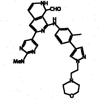 CNc1ncc(-c2cc3c(c(Nc4ccc(-c5cnn(CCN6CCOCC6)c5)c(C)c4)n2)C(C=O)NC=C3)cn1